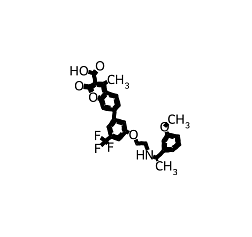 COc1cccc([C@@H](C)NCCOc2cc(-c3ccc4c(C)c(C(=O)O)c(=O)oc4c3)cc(C(F)(F)F)c2)c1